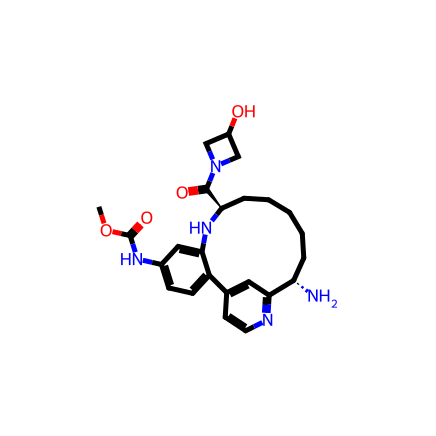 COC(=O)Nc1ccc2c(c1)N[C@@H](C(=O)N1CC(O)C1)CCCCC[C@H](N)c1cc-2ccn1